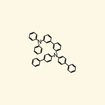 c1ccc(-c2ccc(N(c3ccc(-c4ccccc4)cc3)c3cccc(-c4cccc(N(c5ccccc5)c5ccccc5)c4)c3)cc2)cc1